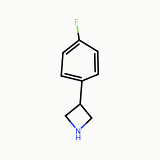 Fc1ccc(C2CNC2)cc1